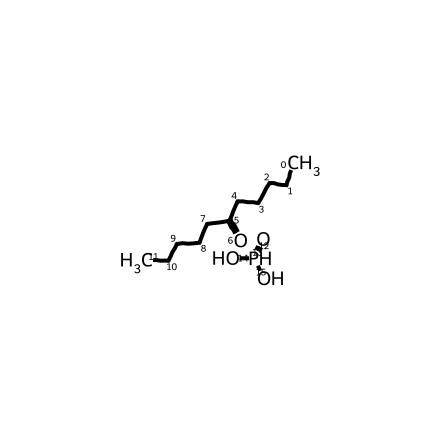 CCCCCC(=O)CCCCC.O=[PH](O)O